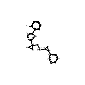 Fc1ccccc1-c1nc(C2(CNC3CC3c3ccccc3)CC2)no1